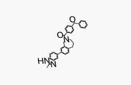 Cc1nc2cc(-c3ccc4c(c3)CN(C(=O)c3ccc(C(=O)c5ccccc5)cc3)CCC4)ccc2[nH]1